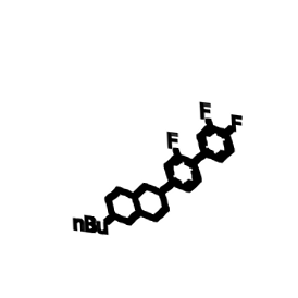 CCCCC1CCC2CC(c3ccc(-c4ccc(F)c(F)c4)c(F)c3)CCC2C1